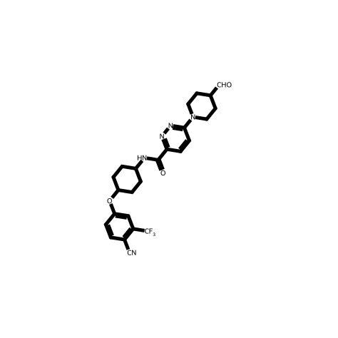 N#Cc1ccc(OC2CCC(NC(=O)c3ccc(N4CCC(C=O)CC4)nn3)CC2)cc1C(F)(F)F